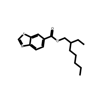 CCCCCC(CC)COC(=O)c1ccc2ncsc2c1